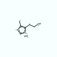 Cc1ncsc1CCO.Cl